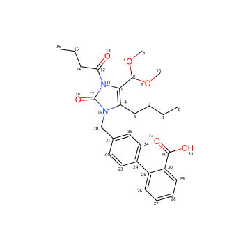 CCCCc1c(C(OC)OC)n(C(=O)CCC)c(=O)n1Cc1ccc(-c2ccccc2C(=O)O)cc1